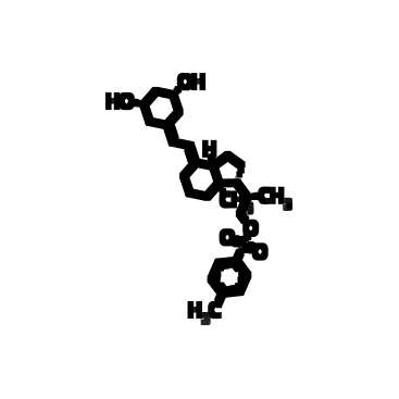 Cc1ccc(S(=O)(=O)OC[C@H](C)[C@H]2CC[C@H]3/C(=C/C=C4C[C@@H](O)C[C@H](O)C4)CCC[C@]23C)cc1